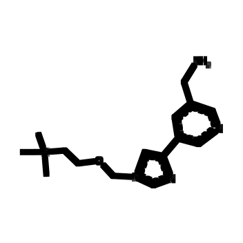 C[Si](C)(C)CCOCn1cnc(-c2cncc(CN)c2)c1